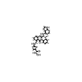 CC[C@H](Nc1ncnc2[nH]cnc12)c1nc2cccc(CNc3nc(C(=O)NO)cs3)c2c(=O)n1-c1ccccc1